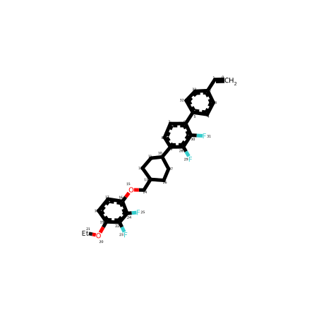 C=Cc1ccc(-c2ccc(C3CCC(COc4ccc(OCC)c(F)c4F)CC3)c(F)c2F)cc1